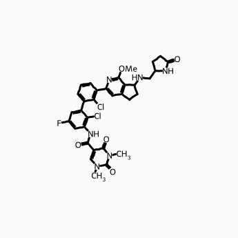 COc1nc(-c2cccc(-c3cc(F)cc(NC(=O)c4cn(C)c(=O)n(C)c4=O)c3Cl)c2Cl)cc2c1C(NCC1CCC(=O)N1)CC2